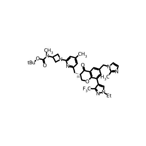 CCn1cc(-c2cc(Cn3ccnc3C)cc3c2OC[C@H](Cc2cc(C)cc(N4CC(N(C)C(=O)OC(C)(C)C)C4)n2)C3=O)c(C(F)(F)F)n1